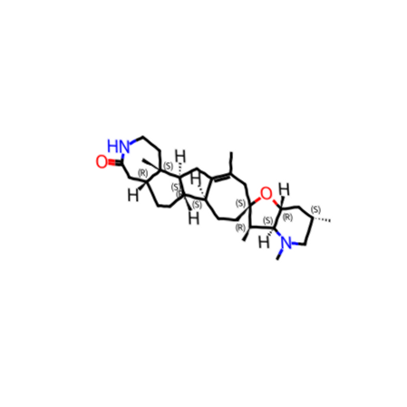 CC1=C2C[C@H]3[C@@H](CC[C@@H]4CC(=O)NCC[C@@]43C)[C@@H]2CC[C@@]2(C1)O[C@@H]1C[C@H](C)CN(C)[C@H]1[C@H]2C